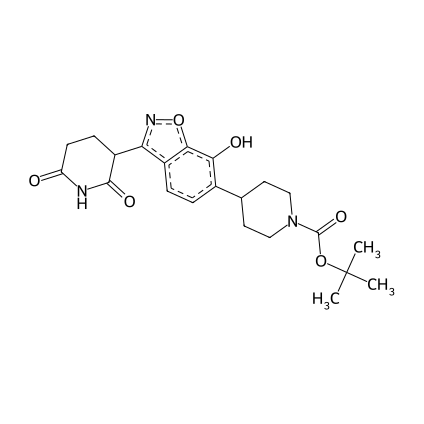 CC(C)(C)OC(=O)N1CCC(c2ccc3c(C4CCC(=O)NC4=O)noc3c2O)CC1